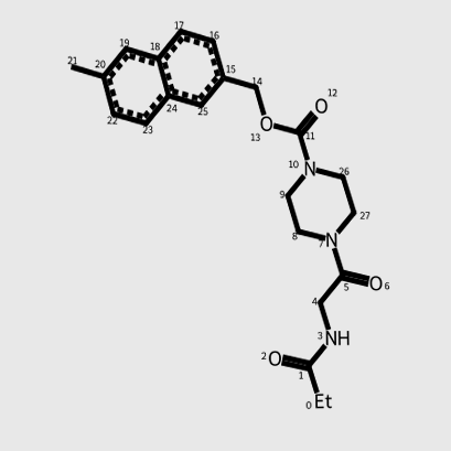 CCC(=O)NCC(=O)N1CCN(C(=O)OCc2ccc3cc(C)ccc3c2)CC1